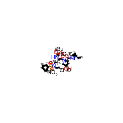 C=C[C@@H]1C[C@]1(NC(=O)[C@@H]1C[C@@H](O)CN1C(=O)[C@H](CCN(CCC=O)S(=O)(=O)c1ccccc1[N+](=O)[O-])NC(=O)OC(C)(C)C)C(=O)OCC